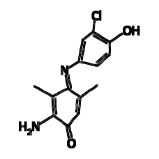 CC1=CC(=O)C(N)=C(C)C1=Nc1ccc(O)c(Cl)c1